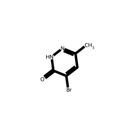 Cc1cc(Br)c(=O)[nH]n1